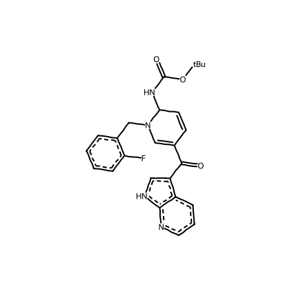 CC(C)(C)OC(=O)NC1C=CC(C(=O)c2c[nH]c3ncccc23)=CN1Cc1ccccc1F